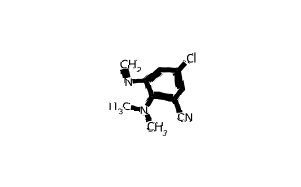 C=Nc1cc(Cl)cc(C#N)c1N(C)C